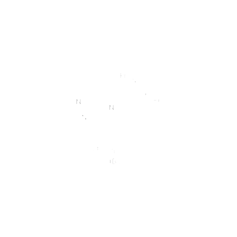 CCOc1ccc(N(Cc2cncnc2)c2ccc(C(=O)OC(C)(C)C)cc2)cc1OC(C)C